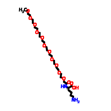 COCCOCCOCCOCCOCCOCCOCCOCCOCCOCCOCC(=O)N[C@@H](CCCCN)C(=O)O